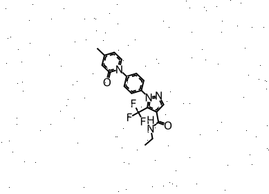 CCNC(=O)c1cnn(-c2ccc(-n3ccc(C)cc3=O)cc2)c1C(F)(F)F